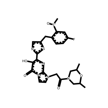 CC1CN(C(=O)Cn2ccn3c(=O)c(O)c(-c4ncc(Cc5ccc(F)cc5[S+](C)[O-])s4)nc23)CC(C)O1